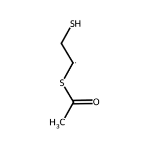 CC(=O)S[CH]CS